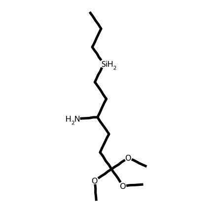 CCC[SiH2]CCC(N)CCC(OC)(OC)OC